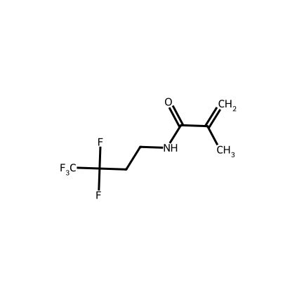 C=C(C)C(=O)NCCC(F)(F)C(F)(F)F